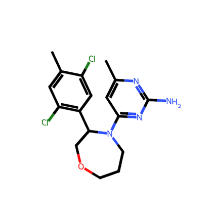 Cc1cc(N2CCCOCC2c2cc(Cl)c(C)cc2Cl)nc(N)n1